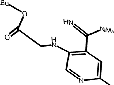 CNC(=N)c1cc(C)ncc1NCC(=O)OC(C)(C)C